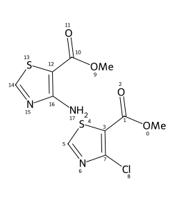 COC(=O)c1scnc1Cl.COC(=O)c1scnc1N